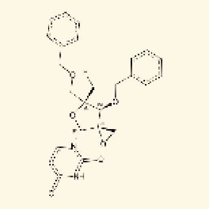 O=c1ccn([C@@H]2O[C@](CF)(COCc3ccccc3)[C@@H](OCc3ccccc3)[C@@]23CO3)c(=O)[nH]1